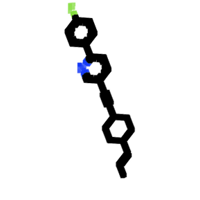 CC=CC1CCC(C#Cc2ccc(-c3ccc(F)cc3)nc2)CC1